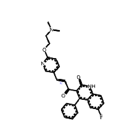 CN(C)CCOc1ccc(/C=C/C(=O)c2c(-c3ccccc3)c3cc(F)ccc3[nH]c2=O)cn1